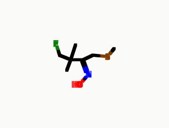 CSCC(=NO)C(C)(C)CF